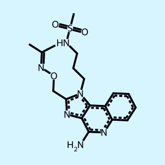 CC(C)=NOCc1nc2c(N)nc3ccccc3c2n1CCCNS(C)(=O)=O